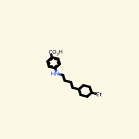 CCC1CCC(CCCCNc2ccc(C(=O)O)cc2)CC1